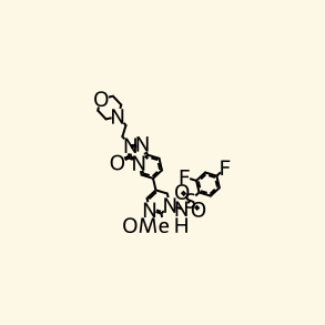 COC1=NC=C(c2ccc3nn(CCN4CCOCC4)c(=O)n3c2)CN1NS(=O)(=O)c1ccc(F)cc1F